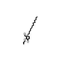 C=CCOc1c(C=O)n(CCCCCCCCCCCCCC)ccc1=O